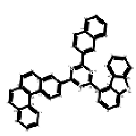 c1ccc2cc(-c3nc(-c4ccc5c(ccc6ccc7ccccc7c65)c4)nc(-c4cccc5oc6ccccc6c45)n3)ccc2c1